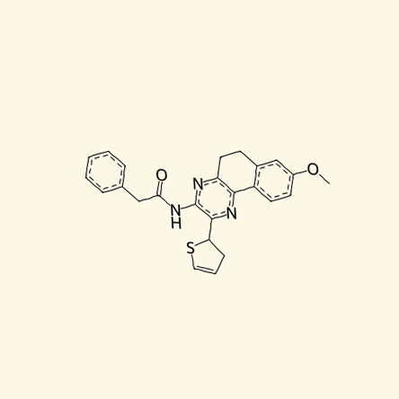 COc1ccc2c(c1)CCc1nc(NC(=O)Cc3ccccc3)c(C3CC=CS3)nc1-2